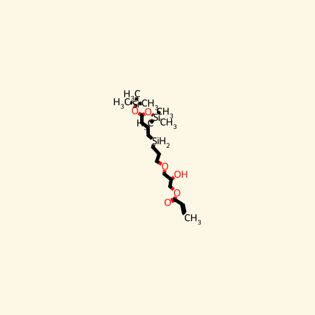 CC=CC(=O)OCC(O)COCCC[SiH2]CCCC(O[Si](C)(C)C)O[Si](C)(C)C